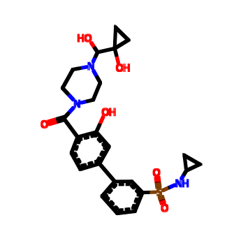 O=C(c1ccc(-c2cccc(S(=O)(=O)NC3CC3)c2)cc1O)N1CCN(C(O)C2(O)CC2)CC1